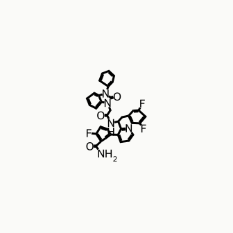 NC(=O)c1cc(-c2cccnc2C(Cc2cc(F)cc(F)c2)NC(=O)Cn2c(=O)n(-c3ccccc3)c3ccccc32)ccc1F